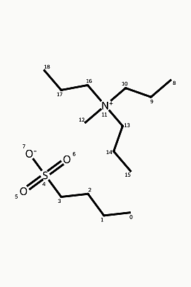 CCCCS(=O)(=O)[O-].CCC[N+](C)(CCC)CCC